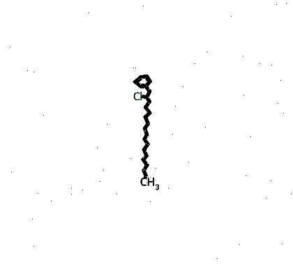 CCCCCCCCCCCCCCCCC(Cl)Cc1ccccc1